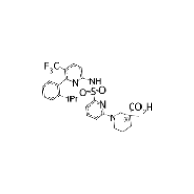 CC(C)c1ccccc1-c1nc(NS(=O)(=O)c2cccc(N3CCC[C@@](C)(C(=O)O)C3)n2)ccc1C(F)(F)F